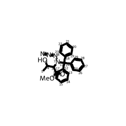 COC(=O)C(C(C)O)N(N=[N+]=[N-])C(c1ccccc1)(c1ccccc1)c1ccccc1